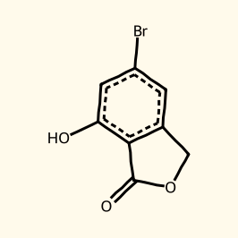 O=C1OCc2cc(Br)cc(O)c21